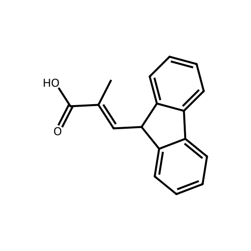 C/C(=C\C1c2ccccc2-c2ccccc21)C(=O)O